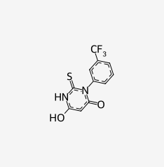 O=c1cc(O)[nH]c(=S)n1-c1cccc(C(F)(F)F)c1